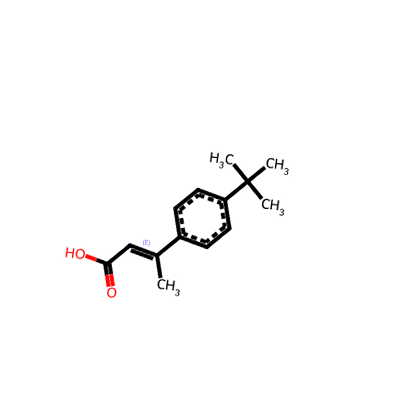 C/C(=C\C(=O)O)c1ccc(C(C)(C)C)cc1